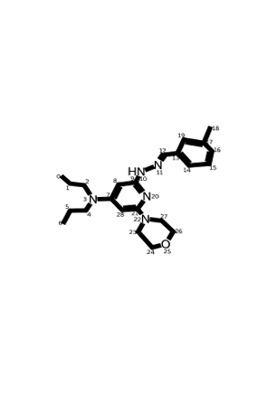 CCCN(CCC)c1cc(N/N=C/c2cccc(C)c2)nc(N2CCOCC2)c1